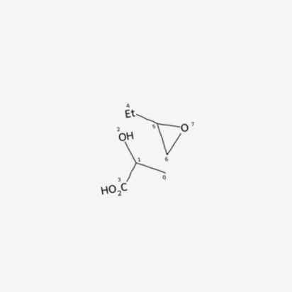 CC(O)C(=O)O.CCC1CO1